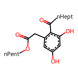 CCCCCCCC(=O)c1c(O)cc(O)cc1CC(=O)OCCCCC